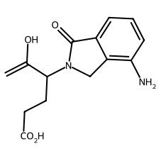 C=C(O)C(CCC(=O)O)N1Cc2c(N)cccc2C1=O